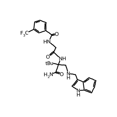 CC(C)(C)C(CNCc1c[nH]c2ccccc12)(NC(=O)CNC(=O)c1cccc(C(F)(F)F)c1)C(N)=O